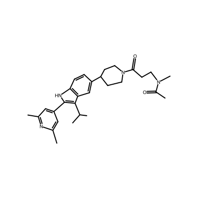 CC(=O)N(C)CCC(=O)N1CCC(c2ccc3[nH]c(-c4cc(C)nc(C)c4)c(C(C)C)c3c2)CC1